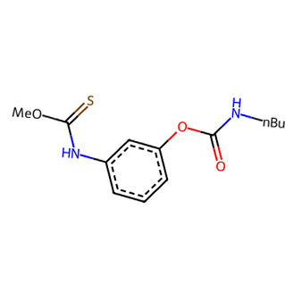 CCCCNC(=O)Oc1cccc(NC(=S)OC)c1